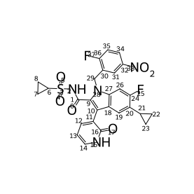 O=C(NS(=O)(=O)C1CC1)c1c(-c2ccc[nH]c2=O)c2cc(C3CC3)c(F)cc2n1Cc1cc([N+](=O)[O-])ccc1F